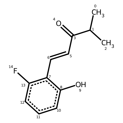 CC(C)C(=O)/C=C/c1c(O)cccc1F